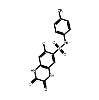 O=c1[nH]c2cc(Cl)c(S(=O)(=O)Nc3ccc(C(F)(F)F)cc3)cc2[nH]c1=O